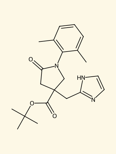 Cc1cccc(C)c1N1CC(Cc2ncc[nH]2)(C(=O)OC(C)(C)C)CC1=O